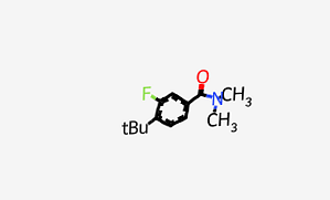 CN(C)C(=O)c1ccc(C(C)(C)C)c(F)c1